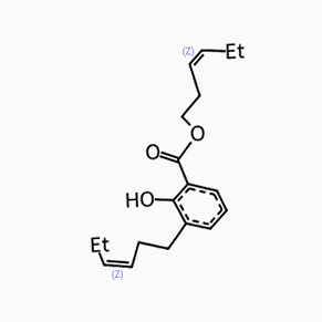 CC/C=C\CCOC(=O)c1cccc(CC/C=C\CC)c1O